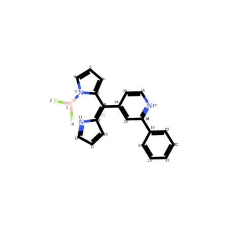 FB(F)n1cccc1/C(=C1/C=CC=N1)c1ccnc(-c2ccccc2)c1